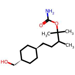 CC(CC[C@H]1CC[C@H](CO)CC1)C(C)(C)OC(N)=O